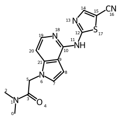 CN(C)C(=O)Cn1ccc2c(Nc3ncc(C#N)s3)nccc21